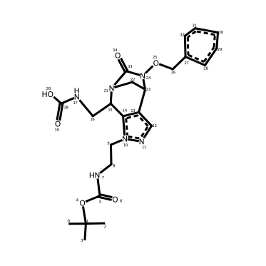 CC(C)(C)OC(=O)NCCn1ncc2c1C(CNC(=O)O)N1CC2N(OCc2ccccc2)C1=O